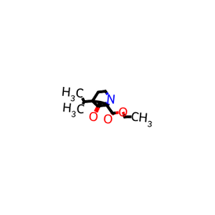 CCOC(=O)C1C(=O)C2(C(C)C)CCN1CC2